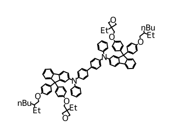 CCCCC(CC)COc1ccc(C2(c3ccc(OCC4(CC)COC4)cc3)c3ccccc3-c3ccc(N(c4ccccc4)c4ccc(-c5ccc(N(c6ccccc6)c6ccc7c(c6)C(c6ccc(OCC(CC)CCCC)cc6)(c6ccc(OCC8(CC)COC8)cc6)c6ccccc6-7)cc5)cc4)cc32)cc1